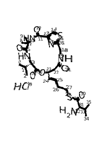 CC(C)[C@@H]1NC(=O)C(C)(C)NC(=O)c2csc(n2)CNC(=O)C[C@@H](/C=C/CCSC(=O)[C@H](N)C(C)C)OC1=O.Cl